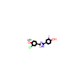 CCCOc1ccc(-c2nc(-c3ccc(O)c(I)c3)no2)cc1Cl